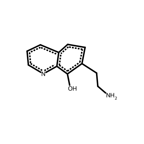 NCCc1ccc2cccnc2c1O